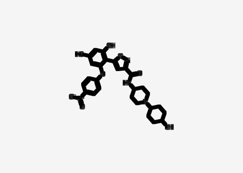 O=C(NC1CCN(C2CCC(O)CC2)CC1)c1cc(-c2c(O)cc(O)cc2Oc2ccc([N+](=O)[O-])cc2)on1